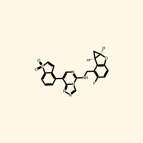 O=S1(=O)C=Cc2c(-c3cnc(NCc4c(F)ccc5c4[C@H]4C[C@H]4O5)n4cnnc34)cccc21